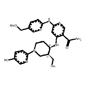 COCc1ccc(Nc2cc(N[C@@H]3CCN(c4ccc(C#N)cn4)C[C@@H]3CO)c(C(N)=O)cn2)nc1